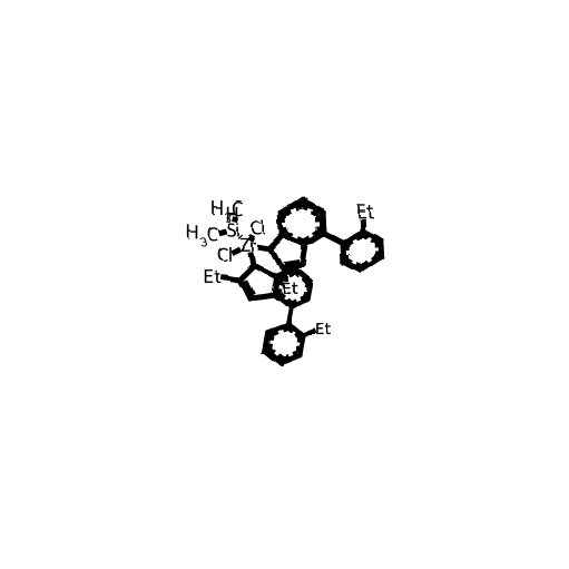 CCC1=Cc2c(-c3ccccc3CC)cccc2[CH]1[Zr]([Cl])([Cl])([CH]1C(CC)=Cc2c(-c3ccccc3CC)cccc21)[SiH](C)C